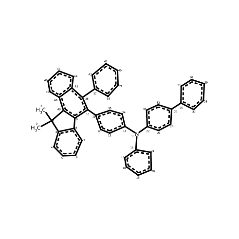 CC1(C)c2ccccc2-c2c(-c3ccc(N(c4ccccc4)c4ccc(-c5ccccc5)cc4)cc3)c(-c3ccccc3)c3ccccc3c21